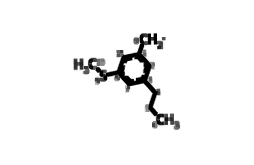 [CH2]c1cc(CCC)cc(SC)c1